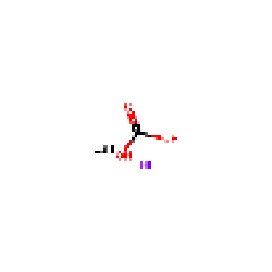 I.O=C(O)O.[CsH]